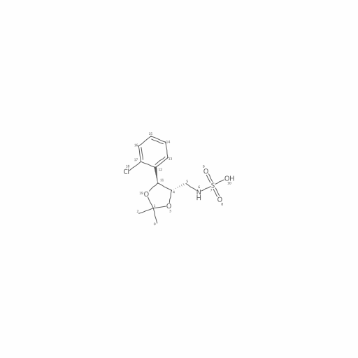 CC1(C)O[C@@H](CNS(=O)(=O)O)[C@H](c2ccccc2Cl)O1